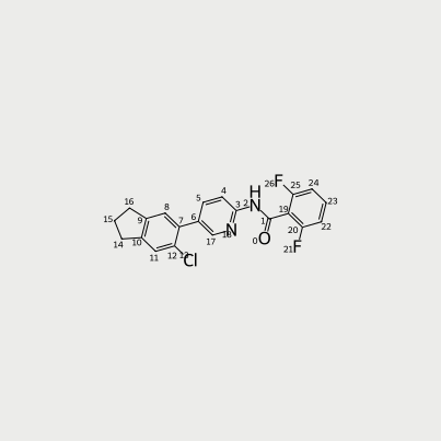 O=C(Nc1ccc(-c2cc3c(cc2Cl)CCC3)cn1)c1c(F)cccc1F